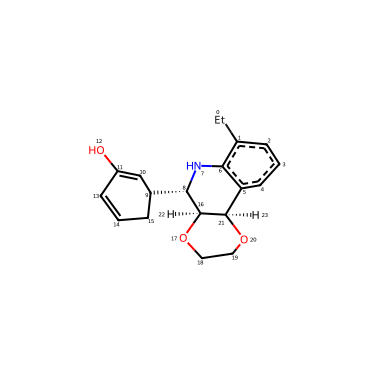 CCc1cccc2c1N[C@@H](C1C=C(O)C=CC1)[C@@H]1OCCO[C@H]21